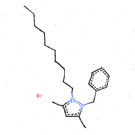 CCCCCCCCCC[n+]1c(C)cc(C)n1Cc1ccccc1.[Br-]